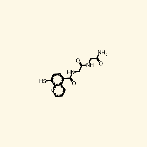 NC(=O)CNC(=O)CNC(=O)c1ccc(S)c2ncccc12